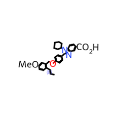 C/C=C/c1ccc(OC)cc1COc1ccc(-c2nc3cc(C(=O)O)ccc3n2C2CCCCC2)cc1